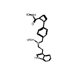 CCCCCCCCCN(CCc1c[nH]c2ccccc12)Cc1ccc(C2C#CC2C(=O)NO)cc1